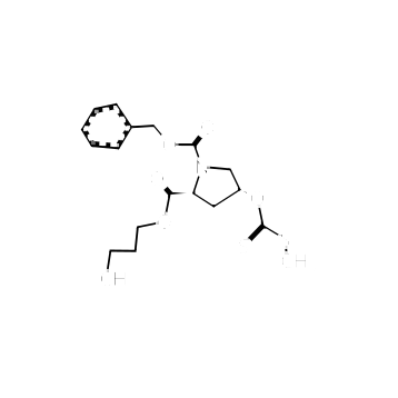 CCCCOC(=O)[C@@H]1C[C@@H](OC(=S)SC)CN1C(=O)OCc1ccccc1